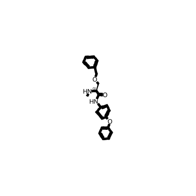 CN[C@@H](COCc1ccccc1)C(=O)Nc1ccc(Oc2ccccc2)cc1